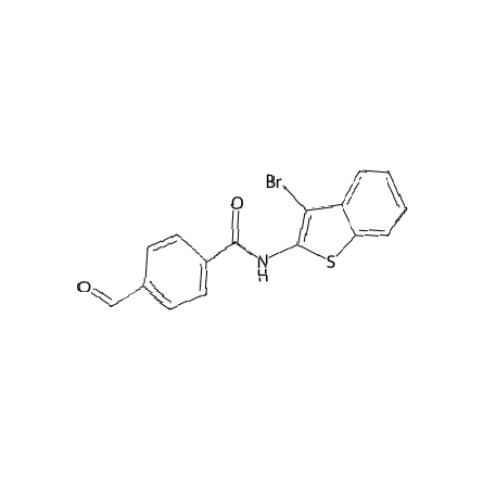 O=Cc1ccc(C(=O)Nc2sc3ccccc3c2Br)cc1